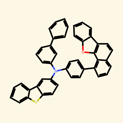 c1ccc(-c2cccc(N(c3ccc(-c4cccc5ccc6c7ccccc7oc6c45)cc3)c3ccc4sc5ccccc5c4c3)c2)cc1